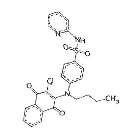 CCCCN(C1=C(Cl)C(=O)c2ccccc2C1=O)c1ccc(S(=O)(=O)Nc2ccccn2)cc1